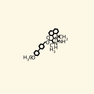 C=NN1C(=N)NC(C)=C(C(=O)OCc2ccc(-c3ccc(OC)cc3)cc2)C1c1cccc2ccccc12